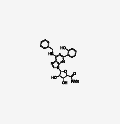 CNC(=O)C1OC(n2cnc3c(NCc4ccccc4)nc(-c4ccccc4O)nc32)C(O)C1O